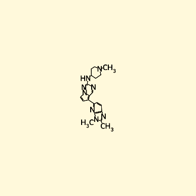 Cc1nc2ccc(-c3ccn4nc(NC5CCN(C)CC5)ncc34)nc2n1C